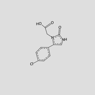 O=C(O)Cn1c(-c2ccc(Cl)cc2)c[nH]c1=O